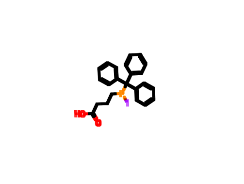 O=C(O)CCCP(I)C(c1ccccc1)(c1ccccc1)c1ccccc1